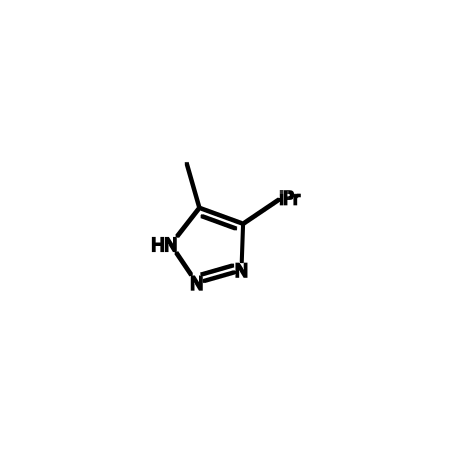 Cc1[nH]nnc1C(C)C